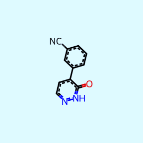 N#Cc1cccc(-c2ccn[nH]c2=O)c1